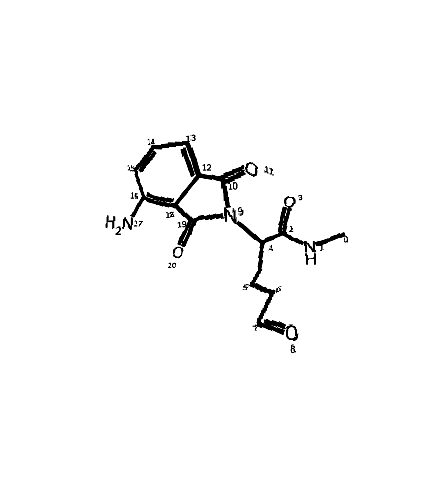 CNC(=O)C(CCC=O)N1C(=O)c2cccc(N)c2C1=O